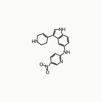 O=[N+]([O-])c1ccc(Nc2ccc3[nH]cc(C4=CCNCC4)c3c2)nc1